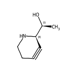 C[C@H](O)[C@H]1C#CCCN1